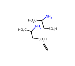 C=C.NC(CS(=O)(=O)O)C(=O)O.NC(CS(=O)(=O)O)C(=O)O